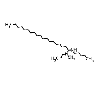 CCCCCCCCCCCCCCCCCCC(NCCCCC)N(C)CCC